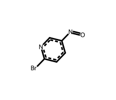 O=Nc1ccc(Br)nc1